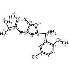 COc1ccc(Cl)cc1C(N)c1cc2cc(C(C)C)c(C)cc2o1